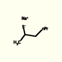 CCCCC(C)[S-].[Na+]